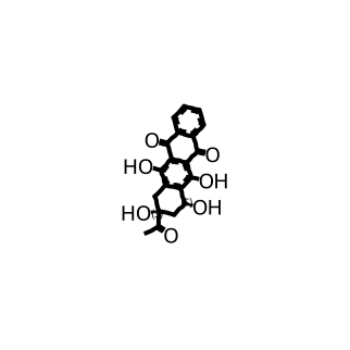 CC(=O)[C@]1(O)Cc2c(O)c3c(c(O)c2[C@@H](O)C1)C(=O)c1ccccc1C3=O